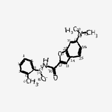 Cc1ccccc1[S+]([O-])NC(=O)c1cc2ccc(N(C)C)cc2o1